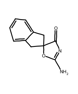 NC1=NC(=O)C2(Cc3ccccc3C2)O1